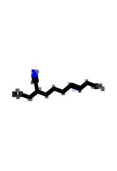 CC/C=C/CCCC(C#N)CC